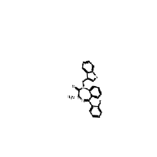 N[C@H]1N=C(c2ccccc2F)c2ccccc2N(Cc2csc3ccccc23)C1=O